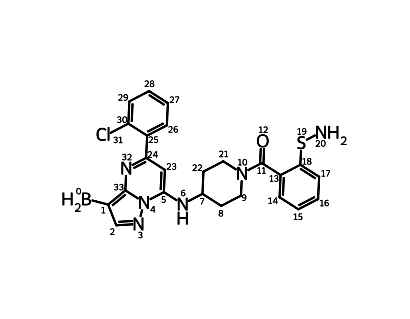 Bc1cnn2c(NC3CCN(C(=O)c4ccccc4SN)CC3)cc(-c3ccccc3Cl)nc12